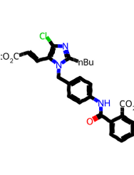 CCCCc1nc(Cl)c(C=CC(=O)OCC)n1Cc1ccc(NC(=O)c2ccccc2C(=O)O)cc1